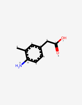 Cc1cc(CC(=O)O)ccc1N